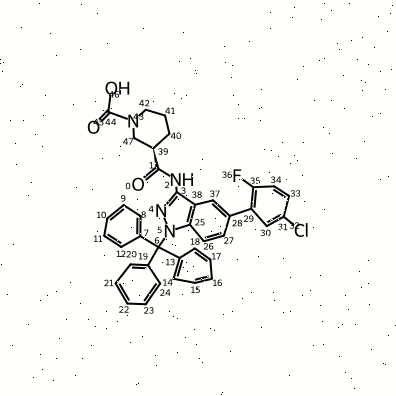 O=C(Nc1nn(C(c2ccccc2)(c2ccccc2)c2ccccc2)c2ccc(-c3cc(Cl)ccc3F)cc12)[C@@H]1CCCN(C(=O)O)C1